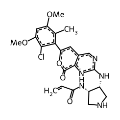 C=CC(=O)N[C@H]1CNC[C@H]1Nc1ncc2cc(-c3c(C)c(OC)cc(OC)c3Cl)oc(=O)c2n1